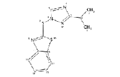 CC(C)c1ncn(Sc2nc3ccccc3s2)n1